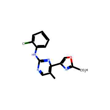 Cc1cnc(Nc2ccccc2Cl)nc1-c1coc(C(=O)O)n1